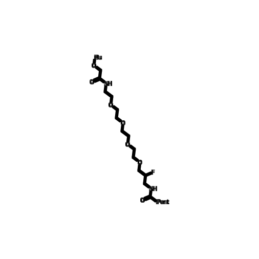 CCCC(C)C(=O)NCC(F)COCCOCCOCCOCCNC(=O)COC(C)CC